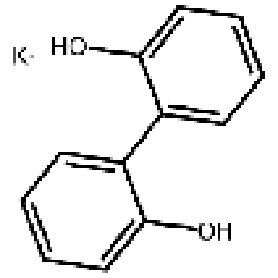 Oc1ccccc1-c1ccccc1O.[K]